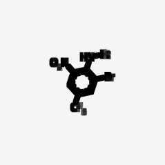 CCNc1c(Br)cc(C(F)(F)F)cc1[N+](=O)[O-]